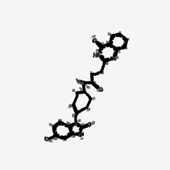 O=C(CCc1nc2ccccc2c(=O)[nH]1)NC1CCC(n2c(=O)[nH]c3cc(Cl)ccc32)CC1